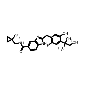 CC(C)(CO)c1cc(F)c(Cc2nc3cc(C(=O)NCC4(C(F)(F)F)CC4)ccc3[nH]2)cc1O